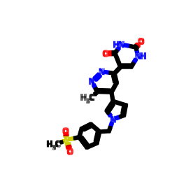 Cc1nnc(-c2c[nH]c(=O)[nH]c2=O)cc1-c1ccn(Cc2ccc(S(C)(=O)=O)cc2)c1